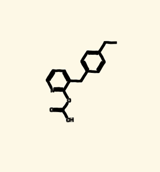 CCc1ccc(Cc2cccnc2OC(=O)O)cc1